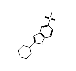 CS(=O)(=O)c1ccc2[nH]c(C3CCOCC3)cc2c1